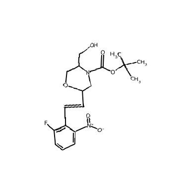 CC(C)(C)OC(=O)N1CC(C=Cc2c(F)cccc2[N+](=O)[O-])OCC1CO